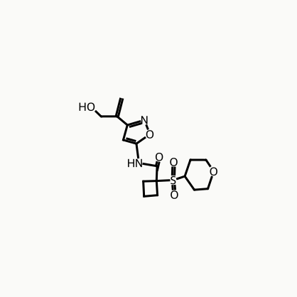 C=C(CO)c1cc(NC(=O)C2(S(=O)(=O)C3CCOCC3)CCC2)on1